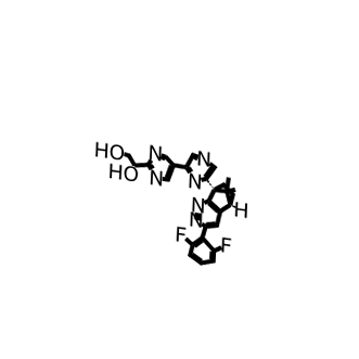 CC1(C)[C@H]2CC[C@]1(c1cncc(-c3cnc(C(O)CO)nc3)n1)c1nnc(-c3c(F)cccc3F)cc12